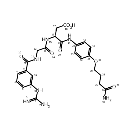 N=C(N)Nc1cccc(C(=O)NCC(=O)N[C@@H](CC(=O)O)C(=O)Nc2ccc(OCCCC(N)=O)cc2)c1